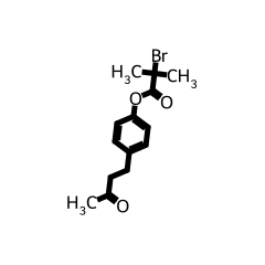 CC(=O)CCc1ccc(OC(=O)C(C)(C)Br)cc1